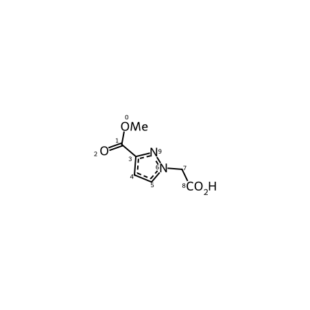 COC(=O)c1ccn(CC(=O)O)n1